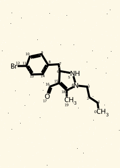 CCCCN1NC(Cc2ccc(Br)cc2)C(C=O)=C1C